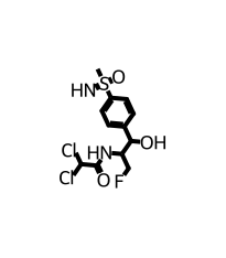 CS(=N)(=O)c1ccc(C(O)C(CF)NC(=O)C(Cl)Cl)cc1